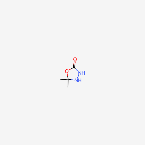 CC1(C)NNC(=O)O1